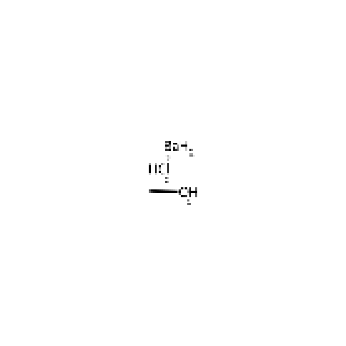 CO.Cl.[BaH2]